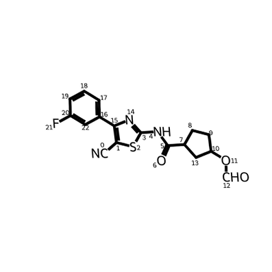 N#Cc1sc(NC(=O)C2CCC(OC=O)C2)nc1-c1cccc(F)c1